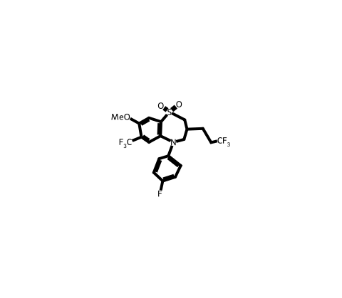 COc1cc2c(cc1C(F)(F)F)N(c1ccc(F)cc1)CC(CCC(F)(F)F)CS2(=O)=O